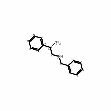 N[C@H](CNCc1ccccc1)c1ccccc1